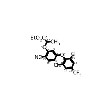 CCOC(=O)C(C)Oc1cc(Oc2c(Cl)cc(C(F)(F)F)cc2Cl)ccc1C#N